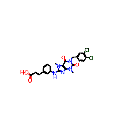 Cn1c(Nc2cccc(CCC(=O)O)c2)nc2c1c(=O)n(Cc1ccc(Cl)c(Cl)c1)c(=O)n2C